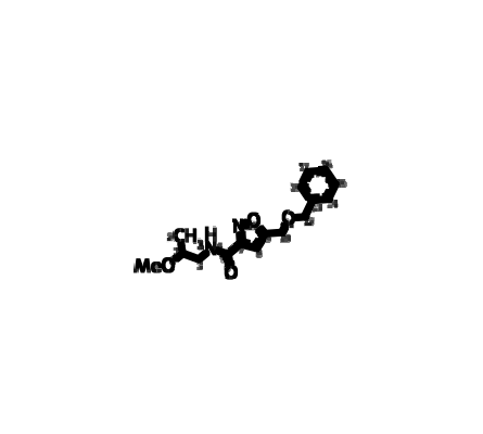 COC(C)CNC(=O)c1cc(COCc2ccccc2)on1